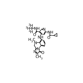 [2H]C([2H])([2H])NC(=O)c1cnc(NC(=O)C2CC2)cc1Nc1cccc2c1N(C)Cc1nn(C)c(=O)n1-2